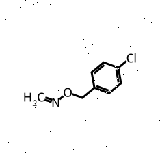 C=NOCc1ccc(Cl)cc1